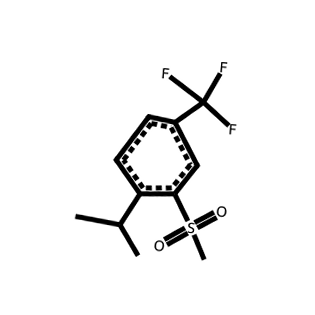 CC(C)c1ccc(C(F)(F)F)cc1S(C)(=O)=O